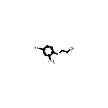 Nc1cc([N+](=O)[O-])ccc1OCCO